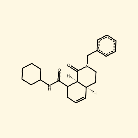 O=C(NC1CCCCC1)C1CC=C[C@@H]2CCN(Cc3ccccc3)C(=O)[C@H]12